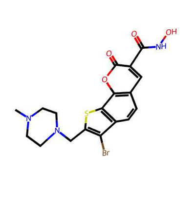 CN1CCN(Cc2sc3c(ccc4cc(C(=O)NO)c(=O)oc43)c2Br)CC1